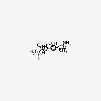 C[C@@H](O)[C@H]1C(=O)N2C(C(=O)O)=C(c3ccc(N(C)CC(N)=O)cc3)C[C@H]12